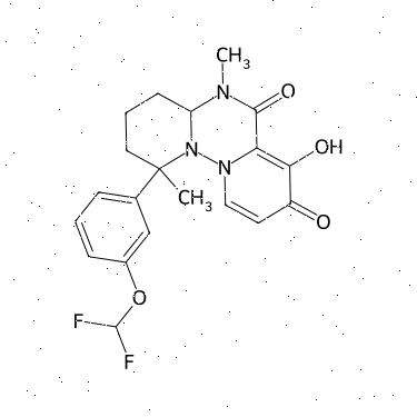 CN1C(=O)c2c(O)c(=O)ccn2N2C1CCCC2(C)c1cccc(OC(F)F)c1